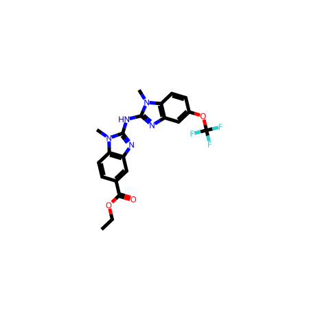 CCOC(=O)c1ccc2c(c1)nc(Nc1nc3cc(OC(F)(F)F)ccc3n1C)n2C